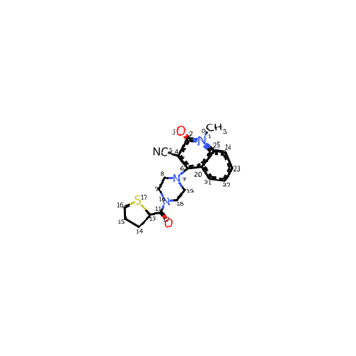 Cn1c(=O)c(C#N)c(N2CCN(C(=O)C3CCCS3)CC2)c2ccccc21